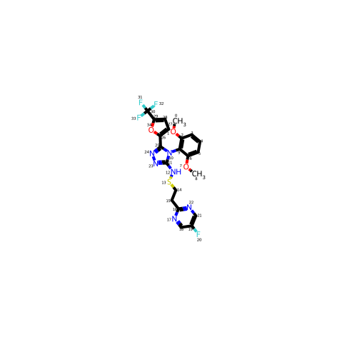 COc1cccc(OC)c1-n1c(NSCCc2ncc(F)cn2)nnc1-c1ccc(C(F)(F)F)o1